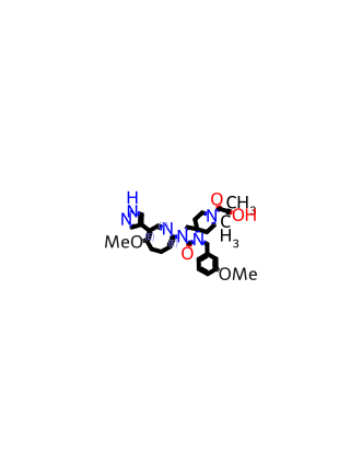 CO/C1=C(c2cn[nH]c2)/C=N\C(N2CC3(CCN(C(=O)C(C)(C)O)CC3)N(Cc3cccc(OC)c3)C2=O)=C/CC1